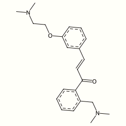 CN(C)CCOc1cccc(C=CC(=O)c2ccccc2CN(C)C)c1